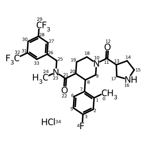 Cc1cc(F)ccc1C1CN(C(=O)C2CCNC2)CCC1C(=O)N(C)Cc1cc(C(F)(F)F)cc(C(F)(F)F)c1.Cl